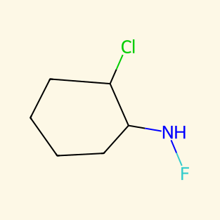 FNC1CCCCC1Cl